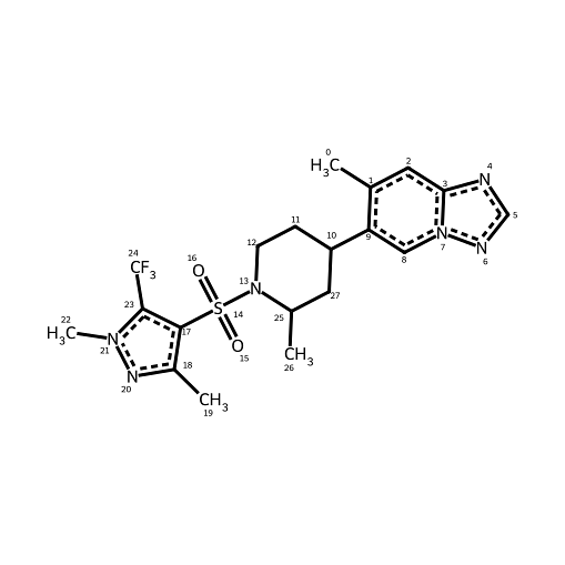 Cc1cc2ncnn2cc1C1CCN(S(=O)(=O)c2c(C)nn(C)c2C(F)(F)F)C(C)C1